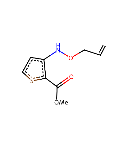 C=CCONc1ccsc1C(=O)OC